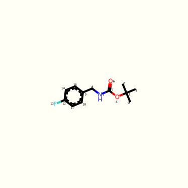 CC(C)(C)OC(=O)NCc1ccc(F)cc1